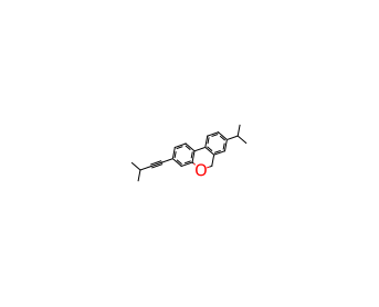 CC(C)C#Cc1ccc2c(c1)OCc1cc(C(C)C)ccc1-2